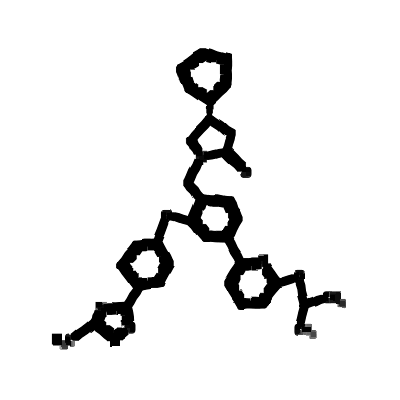 Cc1noc(-c2ccc(Oc3cc(-c4cccc(OC(C)C)n4)ccc3CN3C[C@H](c4ccccc4)CC3=O)cc2)n1